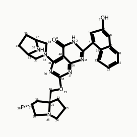 O=c1[nH]c(-c2cc(O)cc3ccccc23)nc2nc(OC[C@@]34CCCN3C[C@H](F)C4)nc(N3CC4CCC(C3)N4)c12